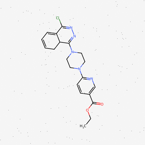 CCOC(=O)c1ccc(N2CCN(C3=NN=C(Cl)C4=CC=CCC43)CC2)nc1